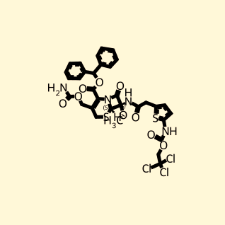 CO[C@@]1(NC(=O)Cc2ccc(NC(=O)OCC(Cl)(Cl)Cl)s2)C(=O)N2C(C(=O)OC(c3ccccc3)c3ccccc3)=C(COC(N)=O)CS[C@H]21